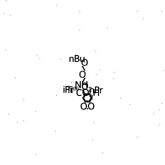 CC(C)[C@H](N)C(=O)O.CCCCOCCOCCOCc1cc2c(cc1CCC)OCO2.[Ti]